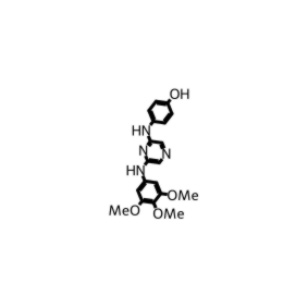 COc1cc(Nc2cncc(Nc3ccc(O)cc3)n2)cc(OC)c1OC